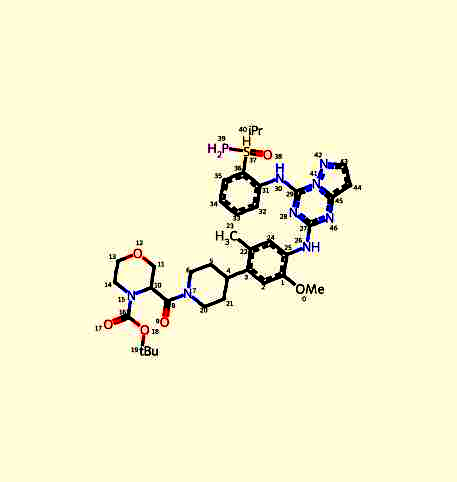 COc1cc(C2CCN(C(=O)C3COCCN3C(=O)OC(C)(C)C)CC2)c(C)cc1Nc1nc(Nc2ccccc2[SH](=O)(P)C(C)C)n2nccc2n1